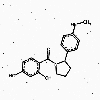 CBc1ccc(C2CCCN2C(=O)c2ccc(O)cc2O)cc1